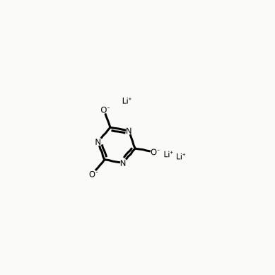 [Li+].[Li+].[Li+].[O-]c1nc([O-])nc([O-])n1